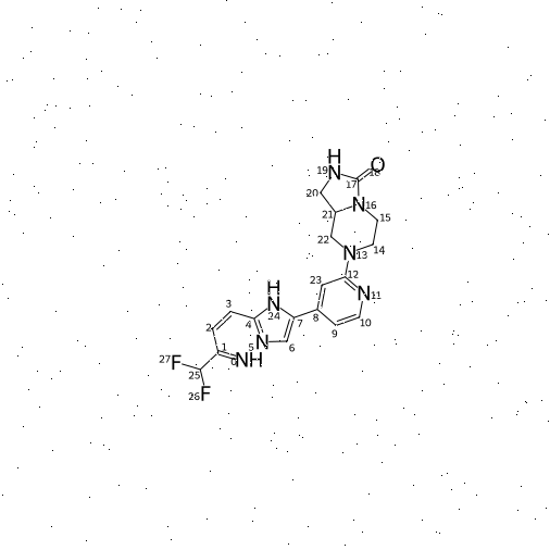 N=C(/C=C\c1ncc(-c2ccnc(N3CCN4C(=O)NCC4C3)c2)[nH]1)C(F)F